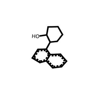 OC1CCCCC1c1cccc2ccccc12